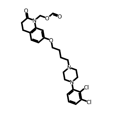 O=COCN1C(=O)CCc2ccc(OCCCCN3CCN(c4cccc(Cl)c4Cl)CC3)cc21